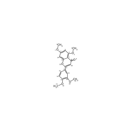 COc1cc(OC)c2c(=O)cc(-c3ccc(OC)c(OC)c3)oc2c1